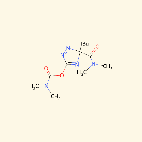 CN(C)C(=O)OC1=NC(C(=O)N(C)C)(C(C)(C)C)N=N1